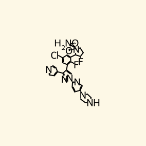 NS(=O)(=O)N1CCC(F)C1c1cc(Cl)cc(-c2cn(-c3ccc(N4CCNCC4)cn3)nc2-c2ccncc2)c1F